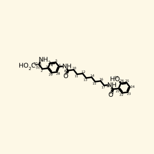 N[C@@H](Cc1ccc(NC(=O)CCCCCCCCNC(=O)c2ccccc2O)cc1)C(=O)O